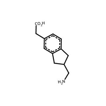 NCC1Cc2ccc(CC(=O)O)cc2C1